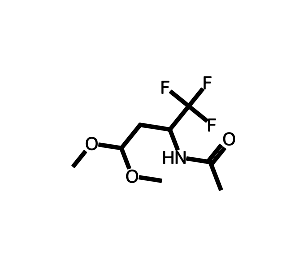 COC(CC(NC(C)=O)C(F)(F)F)OC